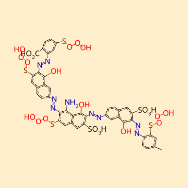 Cc1ccc(N=Nc2c(S(=O)(=O)O)cc3ccc(N=Nc4c(S(=O)(=O)O)cc5cc(SOOO)c(N=Nc6ccc7cc(SOOO)c(N=Nc8cc(SOOO)ccc8C(=O)O)c(O)c7c6)c(N)c5c4O)cc3c2O)c(SOOO)c1